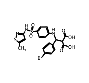 Cc1cc(NS(=O)(=O)c2ccc(NC(c3ccc(Br)cc3)C(C(=O)O)C(=O)O)cc2)ns1